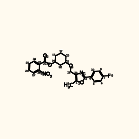 Cc1oc(-c2ccc(F)cc2)nc1COC1CCCC(OC(=O)c2ccccc2[N+](=O)[O-])C1